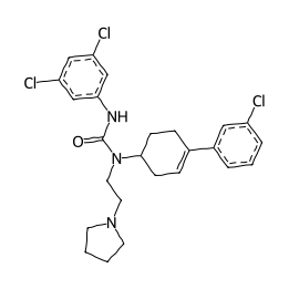 O=C(Nc1cc(Cl)cc(Cl)c1)N(CCN1CCCC1)C1CC=C(c2cccc(Cl)c2)CC1